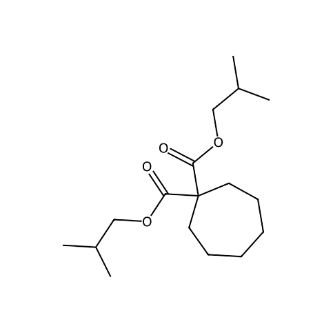 CC(C)COC(=O)C1(C(=O)OCC(C)C)CCCCCC1